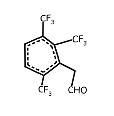 O=CCc1c(C(F)(F)F)ccc(C(F)(F)F)c1C(F)(F)F